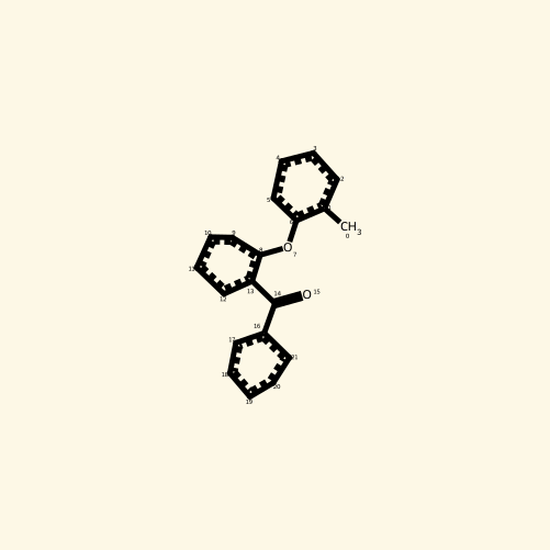 Cc1ccccc1Oc1ccccc1C(=O)c1ccccc1